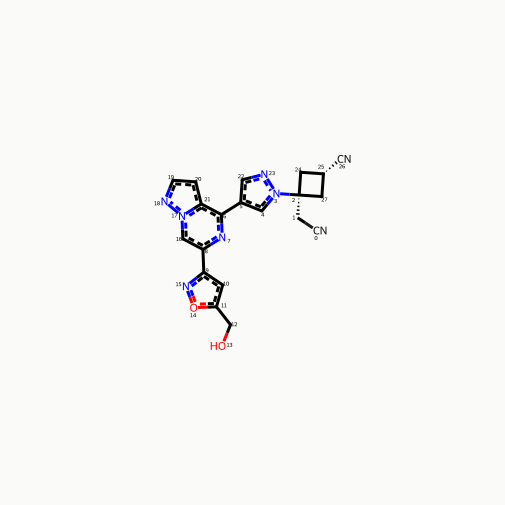 N#CC[C@]1(n2cc(-c3nc(-c4cc(CO)on4)cn4nccc34)cn2)C[C@H](C#N)C1